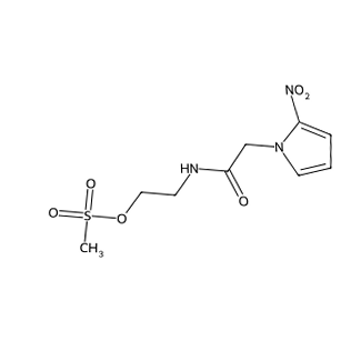 CS(=O)(=O)OCCNC(=O)Cn1cccc1[N+](=O)[O-]